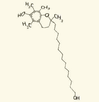 Cc1c(C)c2c(c(C)c1O)CCC(C)(CCCCCCCCCCCCCCCO)O2